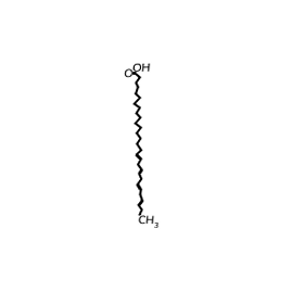 CCCC=CCC=CCC=CCC=CCCCCCCCCCCCCCCCC(=O)O